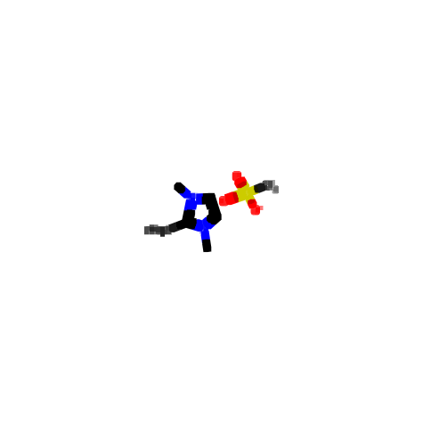 CCCCCCCc1n(C)cc[n+]1C.O=S(=O)([O-])C(F)(F)F